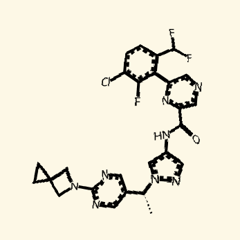 C[C@H](c1cnc(N2CC3(CC3)C2)nc1)n1cc(NC(=O)c2cncc(-c3c(C(F)F)ccc(Cl)c3F)n2)cn1